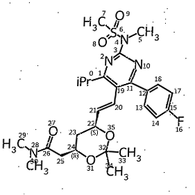 CC(C)c1nc(N(C)S(C)(=O)=O)nc(-c2ccc(F)cc2)c1C=C[C@@H]1C[C@H](CC(=O)N(C)C)OC(C)(C)O1